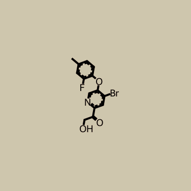 Cc1ccc(Oc2cnc(C(=O)CO)cc2Br)c(F)c1